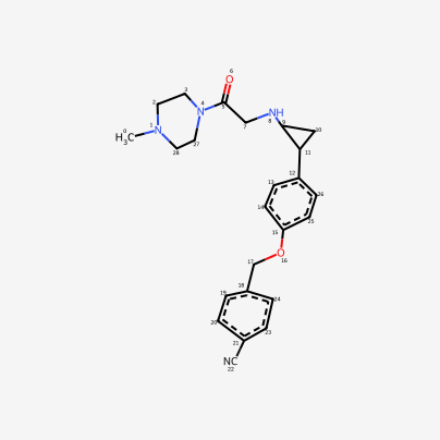 CN1CCN(C(=O)CNC2CC2c2ccc(OCc3ccc(C#N)cc3)cc2)CC1